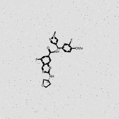 COc1ccc([C@H](NC(=O)c2cc(F)c3cnc(N[C@@H]4CCOC4)nc3c2)c2cnn(C)c2)cc1F